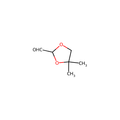 CC1(C)COC(C=O)O1